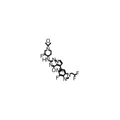 COc1nc(N[C@@H]2CCN(C3COC3)C[C@@H]2F)nn2ccc(-c3cc(F)c4ncn(CC(F)F)c4c3)c12